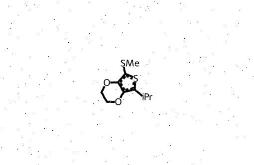 CSc1sc(C(C)C)c2c1OCCO2